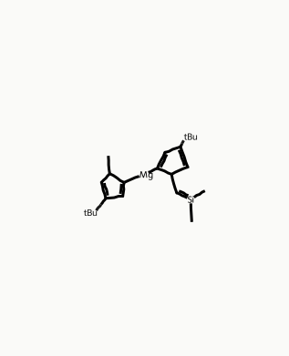 CC1C=C(C(C)(C)C)C=[C]1[Mg][C]1=CC(C(C)(C)C)=CC1C=[Si](C)C